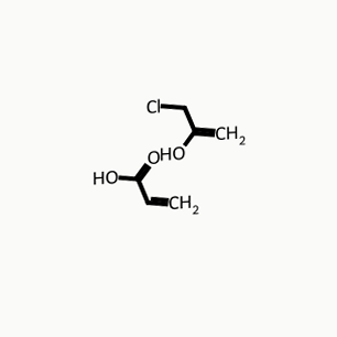 C=C(O)CCl.C=CC(=O)O